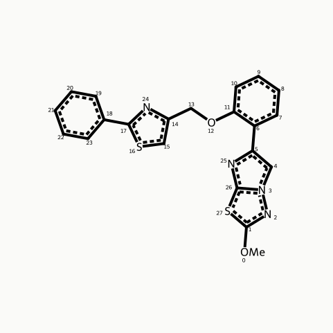 COc1nn2cc(-c3ccccc3OCc3csc(-c4ccccc4)n3)nc2s1